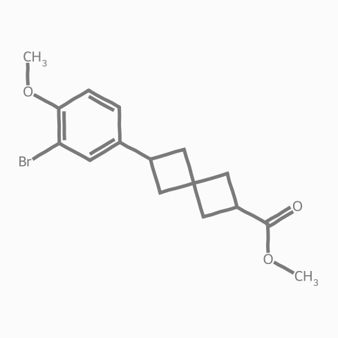 COC(=O)C1CC2(C1)CC(c1ccc(OC)c(Br)c1)C2